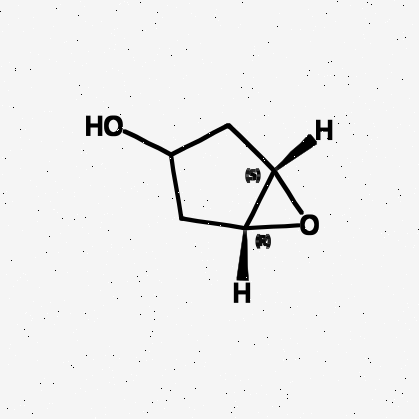 OC1C[C@@H]2O[C@@H]2C1